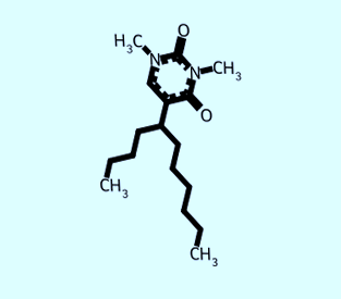 CCCCCCC(CCCC)c1cn(C)c(=O)n(C)c1=O